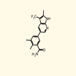 Cc1cc(-c2cnc3[nH]c(C)c(C(F)(F)F)c3c2)cc(C(N)=O)c1C